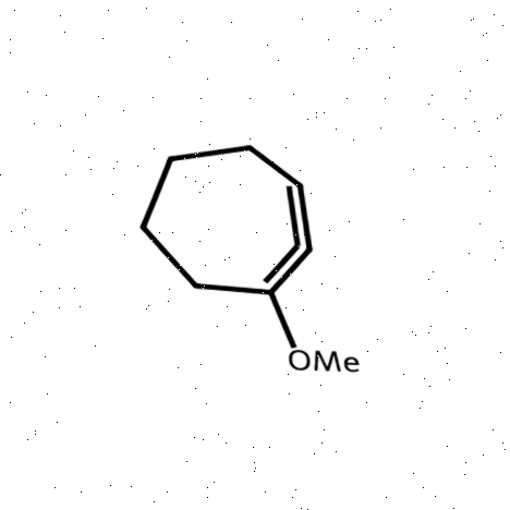 COC1=C=CCCCC1